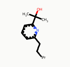 CC(C)CCc1cccc(C(C)(C)O)n1